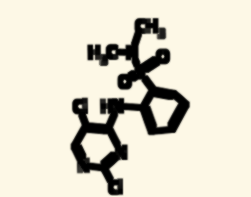 CN(C)S(=O)(=O)c1ccccc1Nc1nc(Cl)ncc1Cl